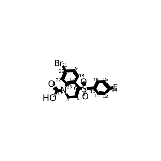 O=C(O)N1CC=C(S(=O)(=O)c2ccc(F)cc2)c2ccc(Br)cc21